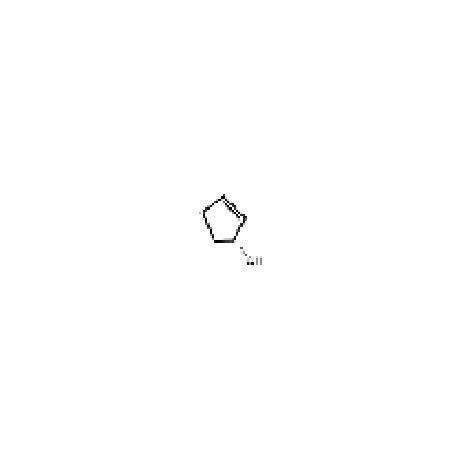 O[C@H]1C=C[CH]C1